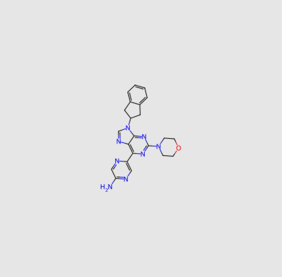 Nc1cnc(-c2nc(N3CCOCC3)nc3c2ncn3C2Cc3ccccc3C2)cn1